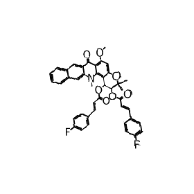 COc1cc2c(c3c1c(=O)c1cc4ccccc4cc1n3C)[C@H](OC(=O)C=Cc1ccc(F)cc1)[C@H](OC(=O)C=Cc1ccc(F)cc1)C(C)(C)O2